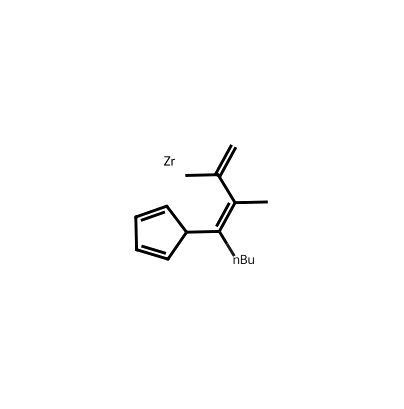 C=C(C)C(C)=C(CCCC)C1C=CC=C1.[Zr]